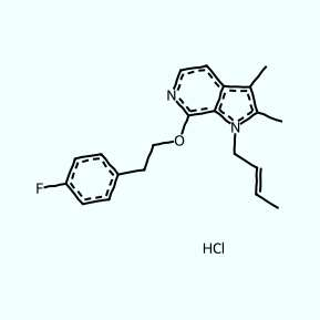 CC=CCn1c(C)c(C)c2ccnc(OCCc3ccc(F)cc3)c21.Cl